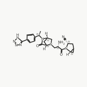 C[C@H](c1ccc(-c2nnn[nH]2)cc1)N1C(=O)[C@@H]2C[C@H]1CN2C[C@H](N)C(=O)N1[C@H](C#N)CC2C[C@@H]21